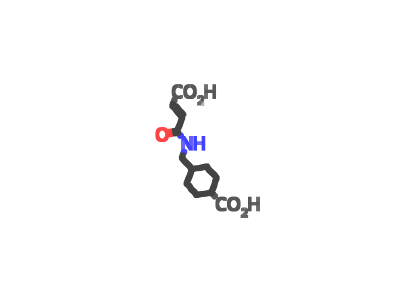 O=C(O)/C=C/C(=O)NCC1CCC(C(=O)O)CC1